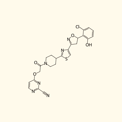 N#Cc1nccc(OCC(=O)N2CCC(c3nc(C4=NOC(c5c(O)cccc5Cl)C4)cs3)CC2)n1